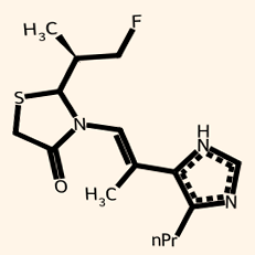 CCCc1nc[nH]c1/C(C)=C/N1C(=O)CSC1[C@@H](C)CF